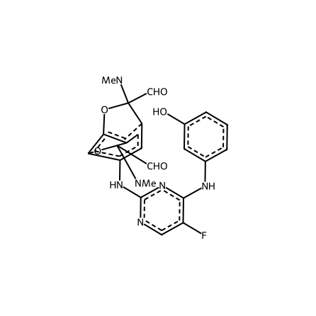 CNC1(C=O)Oc2c3c(Nc4ncc(F)c(Nc5cccc(O)c5)n4)cc1c2C(C=O)(NC)O3